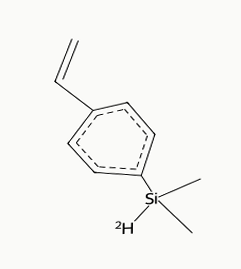 [2H][Si](C)(C)c1ccc(C=C)cc1